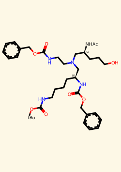 CC(=O)N[C@@H](CCCO)CN(CCNC(=O)OCc1ccccc1)C[C@H](CCCCNC(=O)OC(C)(C)C)NC(=O)OCc1ccccc1